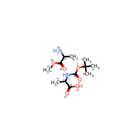 CC(NC(=O)OC(C)(C)C)C(=O)O.COC(=O)C(C)N